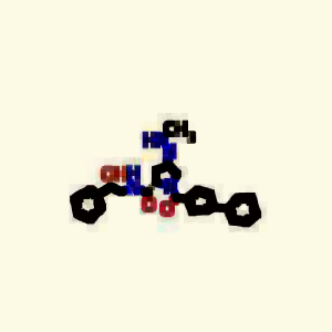 CN/N=C1\C[C@@H](C(=O)NC[C@@H](O)c2ccccc2)N(C(=O)c2ccc(-c3ccccc3)cc2)C1